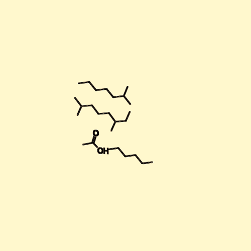 CC(=O)O.CCC(C)CCCC(C)C.CCCCCC.CCCCCC(C)C